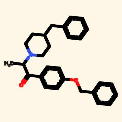 CC(C(=O)c1ccc(OCc2ccccc2)cc1)N1CCC(Cc2ccccc2)CC1